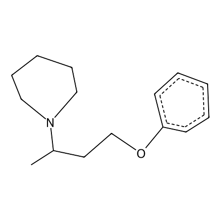 CC(CCOc1ccccc1)N1CCCCC1